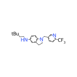 CC(C)(C)CCNc1ccc2c(c1)CCN2Cc1ccc(C(F)(F)F)nc1